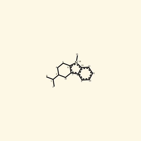 CC(C)C1CCc2c(c3ccccc3n2C)C1